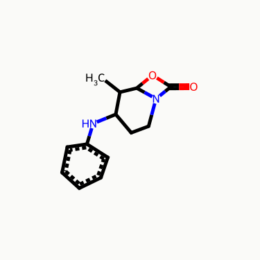 CC1C(Nc2ccccc2)CCN2C(=O)OC12